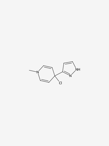 CN1C=CC(Cl)(c2cc[nH]n2)C=C1